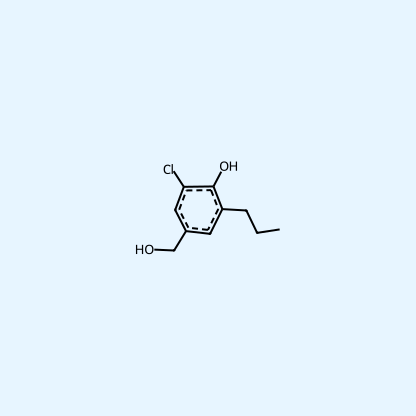 CCCc1cc(CO)cc(Cl)c1O